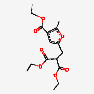 CCOC(=O)c1cc(CC(C(=O)OCC)C(=O)OCC)oc1C